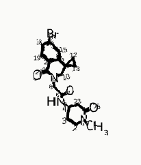 CN1CC[C@@H](NC(=O)CN2CC3(CC3)c3cc(Br)ccc3C2=O)CC1=O